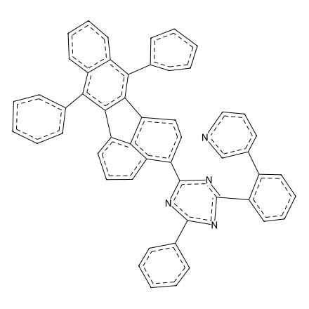 c1ccc(-c2nc(-c3ccccc3-c3cccnc3)nc(-c3ccc4c5c(cccc35)-c3c-4c(-c4ccccc4)c4ccccc4c3-c3ccccc3)n2)cc1